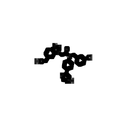 O=C(Cn1nnc2ccc(CO)cc21)N(Cc1cccc(Cl)c1)c1ccc(-c2c[nH]cn2)cc1